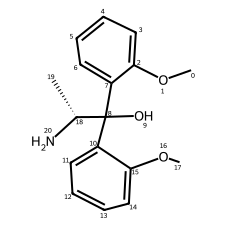 COc1ccccc1C(O)(c1ccccc1OC)[C@@H](C)N